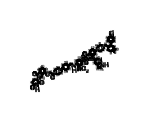 CC1(C)CCC(CN2CCN(c3ccc(C(=O)NS(=O)(=O)c4ccc(NCC5CCC(N6CCN(C(=O)COc7cccc8c7CN(C7CCC(=O)NC7=O)C8=O)CC6)CC5)c([N+](=O)[O-])c4)c(Oc4cnc5[nH]ccc5c4)c3)CC2)=C(c2ccc(Cl)cc2)C1